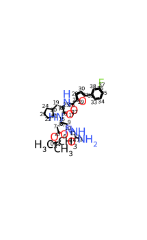 CC(C)(C)OC(=O)C[C@@H](/C=N/NC(N)=O)NC(=O)[C@H](CC1CCCC1)NC(=O)c1ccc(-c2cccc(F)c2)o1